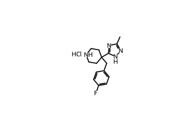 Cc1n[nH]c(C2(Cc3ccc(F)cc3)CCNCC2)n1.Cl